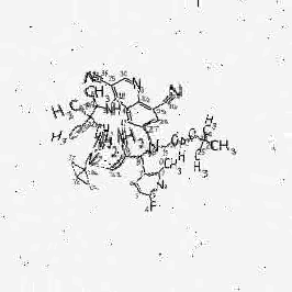 Cc1nc(F)ccc1[C@@H](/C(N)=C/N(N)C12CC1C2)N(COPOC(C)(C)C)c1cc(C#N)c2ncc(C#N)c(N[C@H](C)C(C)(C)C)c2c1